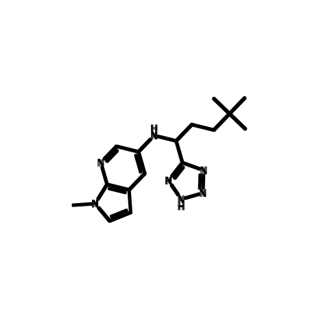 Cn1ccc2cc(NC(CCC(C)(C)C)c3nn[nH]n3)cnc21